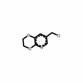 ClCc1cnc2c(c1)OCCO2